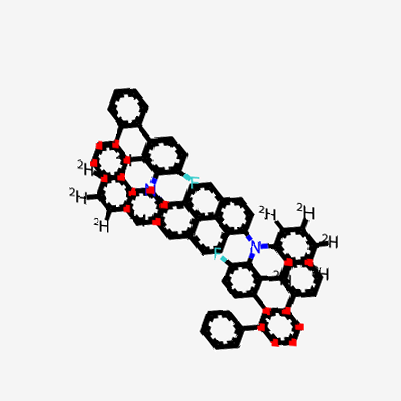 [2H]c1c([2H])c([2H])c(N(c2c(F)ccc(-c3ccccc3-c3ccccc3)c2-c2ccccc2-c2ccccc2)c2ccc3ccc4c(N(c5c([2H])c([2H])c([2H])c([2H])c5[2H])c5c(F)ccc(-c6ccccc6-c6ccccc6)c5-c5ccccc5-c5ccccc5)ccc5ccc2c3c54)c([2H])c1[2H]